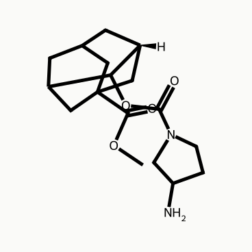 COC(=O)C12CC3CC(C1)C(OC(=O)N1CCC(N)C1)[C@H](C3)C2